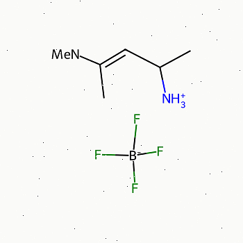 CNC(C)=CC(C)[NH3+].F[B-](F)(F)F